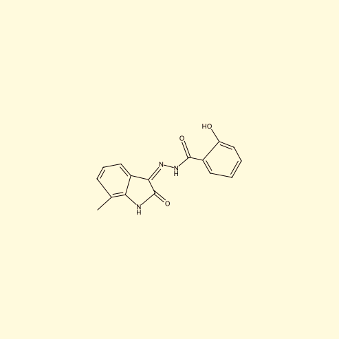 Cc1cccc2c1NC(=O)/C2=N\NC(=O)c1ccccc1O